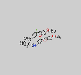 CCCCOc1ccc2oc(C3(F)C=CC(C=O)C=C3)cc2c1.CCCCOc1ccc2oc(C3(F)C=CC(CN4CC(C(=O)O)C4)C=C3)cc2c1